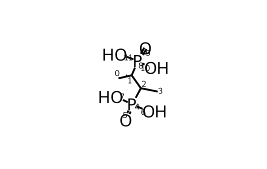 C[C](C(C)P(=O)(O)O)P(=O)(O)O